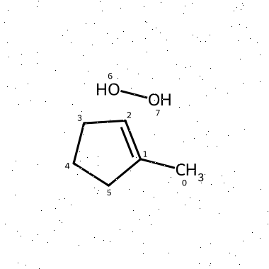 CC1=CCCC1.OO